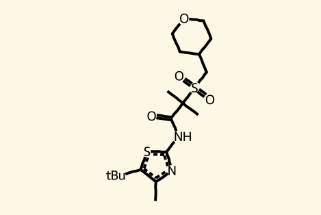 Cc1nc(NC(=O)C(C)(C)S(=O)(=O)CC2CCOCC2)sc1C(C)(C)C